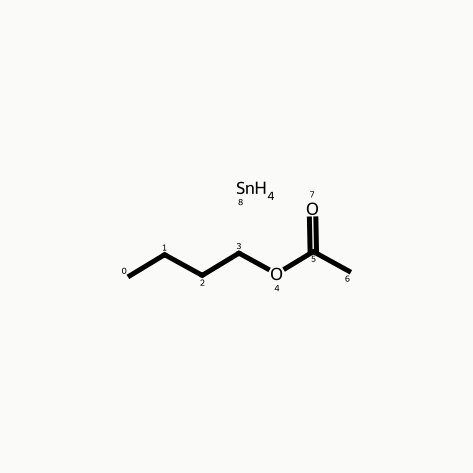 CCCCOC(C)=O.[SnH4]